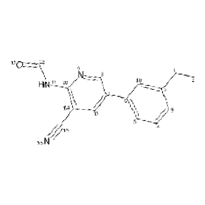 CCc1cccc(-c2cnc(NC=O)c(C#N)c2)c1